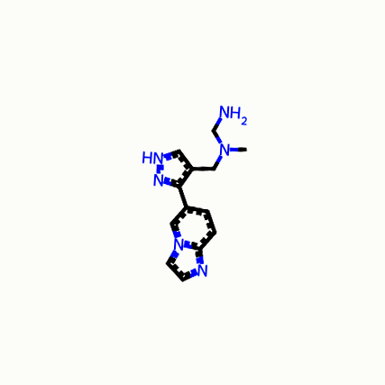 CN(CN)Cc1c[nH]nc1-c1ccc2nccn2c1